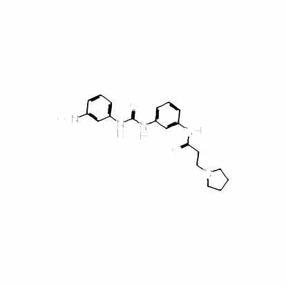 O=C(CCN1CCCC1)Nc1cccc(NC(=O)Nc2cccc([N+](=O)[O-])c2)c1